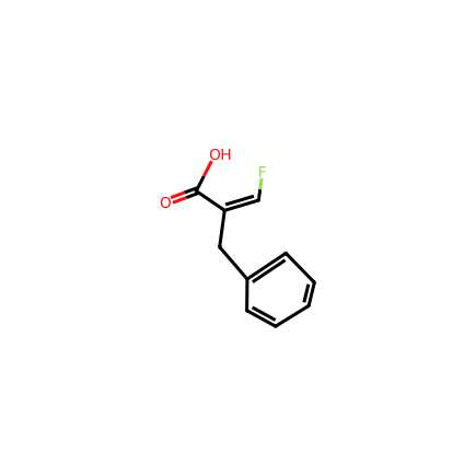 O=C(O)C(=CF)Cc1ccccc1